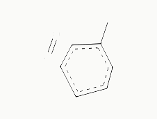 Cc1ccccc1.O=O